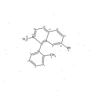 Cc1ccccc1-c1c2cc(C(C)C)ccc2cc[n+]1C